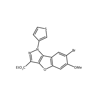 CCOC(=O)c1nn(-c2ccsc2)c2c1oc1cc(OC)c(Br)cc12